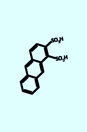 O=S(=O)(O)c1ccc2cc3ccccc3cc2c1S(=O)(=O)O